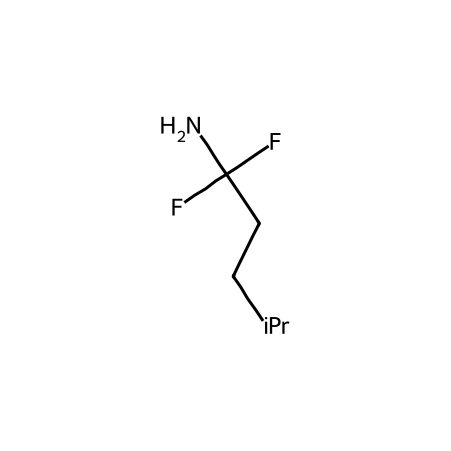 CC(C)CCC(N)(F)F